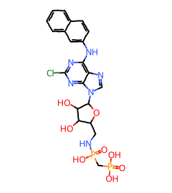 O=P(O)(O)CP(=O)(O)NCC1OC(n2cnc3c(Nc4ccc5ccccc5c4)nc(Cl)nc32)C(O)C1O